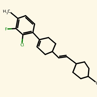 Cc1ccc(C2=CCC(/C=C/C3CCC(C)CC3)CC2)c(Cl)c1F